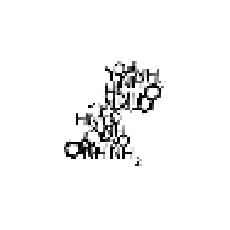 C=CC[C@H](NC(=O)[C@@H](C)N)C(=O)N[C@H](Cc1ccc2ccccc2c1)C(=O)N[C@@H](CC)C(=O)N[C@@H](Cc1c[nH]c2ccccc12)C1=C(S)[C@@H](C(N)=O)N1